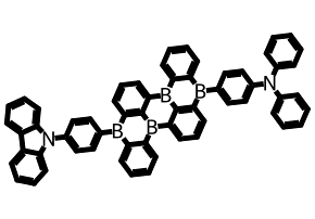 c1ccc(N(c2ccccc2)c2ccc(B3c4ccccc4B4c5cccc6c5B(c5ccccc5B6c5ccc(-n6c7ccccc7c7ccccc76)cc5)c5cccc3c54)cc2)cc1